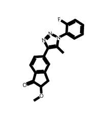 COC1Cc2cc(-c3nnn(-c4ccccc4F)c3C)ccc2C1=O